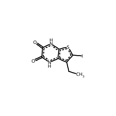 CCc1c(I)sc2[nH]c(=O)c(=O)[nH]c12